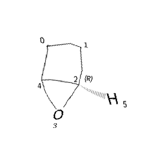 C1C[C@H]2OC12